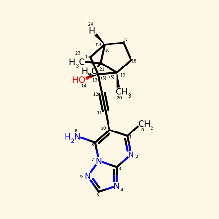 Cc1nc2ncnn2c(N)c1C#C[C@]1(O)C[C@@H]2CC[C@@]1(C)C2(C)C